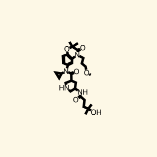 COCCCN1C(=O)C(C)(C)Oc2ccc(N(C(=O)C3CNCC(NC(=O)CCC(C)(C)O)C3)C3CC3)cc21